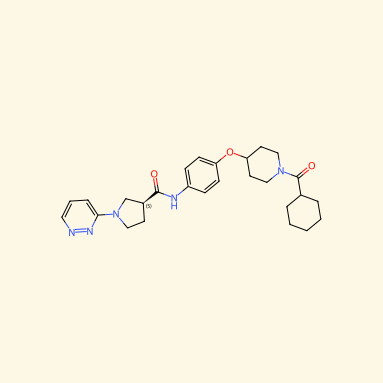 O=C(Nc1ccc(OC2CCN(C(=O)C3CCCCC3)CC2)cc1)[C@H]1CCN(c2cccnn2)C1